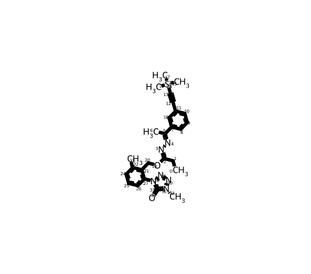 CC/C(=N\N=C(/C)c1cccc(C#C[Si](C)(C)C)c1)OCc1c(C)cccc1-n1nnn(C)c1=O